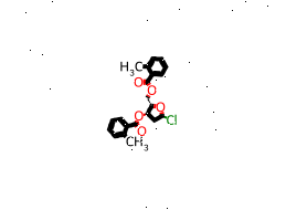 Cc1ccccc1C(=O)OC[C@@H]1O[C@@H](Cl)C[C@H]1OC(=O)c1ccccc1C